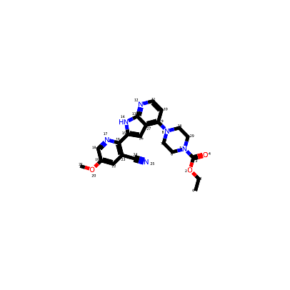 CCOC(=O)N1CCN(c2ccnc3[nH]c(-c4ncc(OC)cc4C#N)cc23)CC1